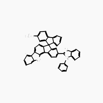 CCCCc1ccc2c(c1)C1(c3ccccc3-2)c2cc(-c3nc4ccccc4n3-c3ccccc3)ccc2-c2c1ccc1c2oc2ccccc21